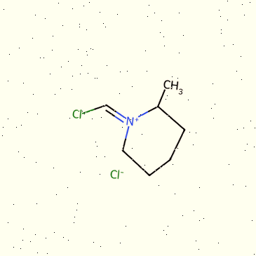 CC1CCCC/[N+]1=C\Cl.[Cl-]